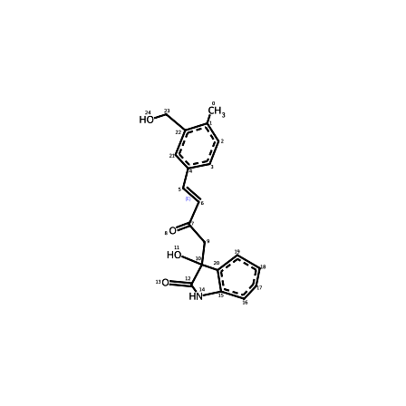 Cc1ccc(/C=C/C(=O)CC2(O)C(=O)Nc3ccccc32)cc1CO